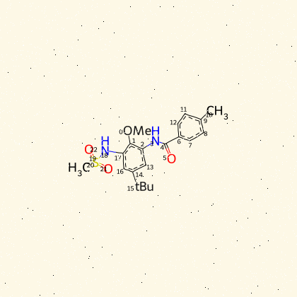 COc1c(NC(=O)c2ccc(C)cc2)cc(C(C)(C)C)cc1NS(C)(=O)=O